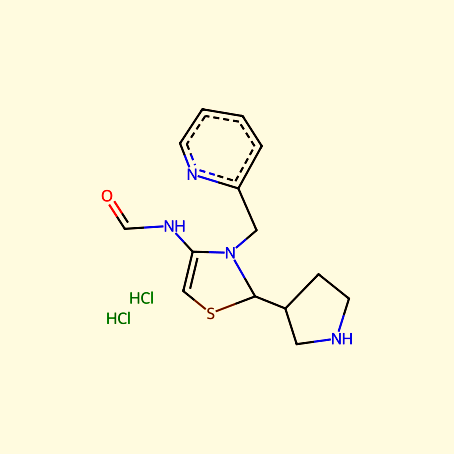 Cl.Cl.O=CNC1=CSC(C2CCNC2)N1Cc1ccccn1